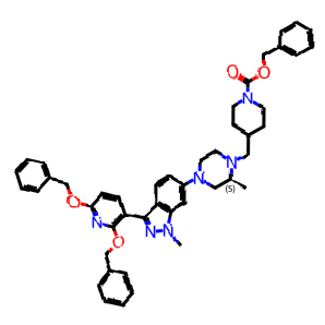 C[C@H]1CN(c2ccc3c(-c4ccc(OCc5ccccc5)nc4OCc4ccccc4)nn(C)c3c2)CCN1CC1CCN(C(=O)OCc2ccccc2)CC1